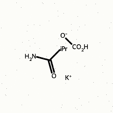 CC(C)C(N)=O.O=C([O-])O.[K+]